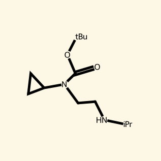 CC(C)NCCN(C(=O)OC(C)(C)C)C1CC1